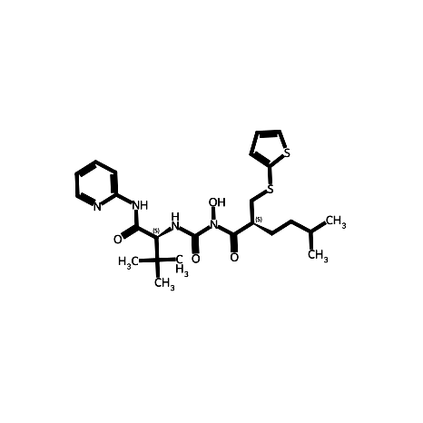 CC(C)CC[C@H](CSc1cccs1)C(=O)N(O)C(=O)N[C@H](C(=O)Nc1ccccn1)C(C)(C)C